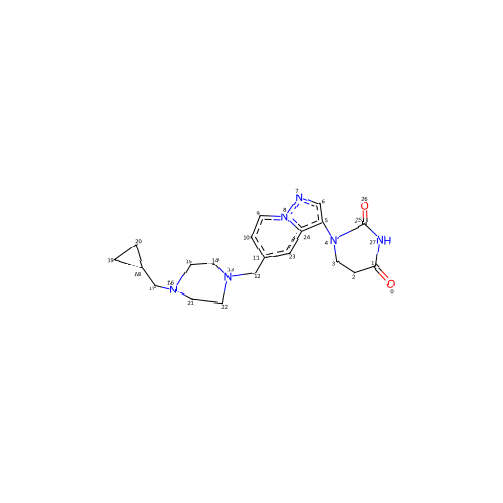 O=C1CCN(c2cnn3ccc(CN4CCN(CC5CC5)CC4)cc23)C(=O)N1